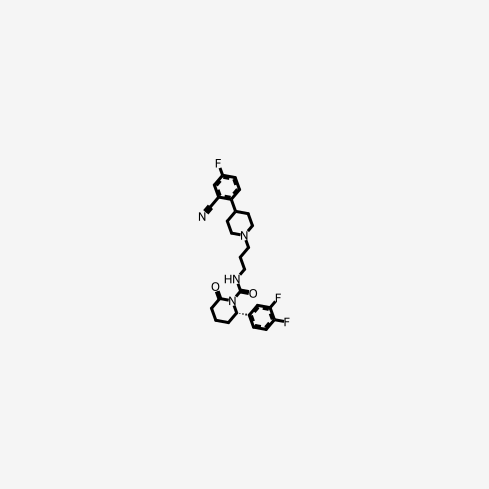 N#Cc1cc(F)ccc1C1CCN(CCCNC(=O)N2C(=O)CCC[C@H]2c2ccc(F)c(F)c2)CC1